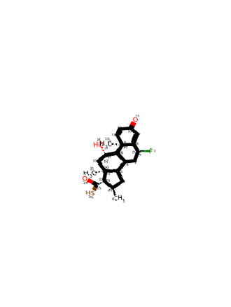 C[C@@H]1CC2C3C[C@H](F)C4=CC(=O)C=C[C@]4(C)C3[C@@H](O)C[C@]2(C)[C@H]1C(=O)S